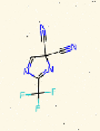 N#CC1(C#N)C=NC(C(F)(F)F)=N1